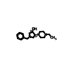 CCN1CCN([C@@H]2CN(Cc3ccccc3)C[C@H]2O)CC1